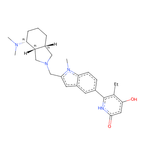 CCc1c(O)cc(=O)[nH]c1-c1ccc2c(c1)cc(CN1C[C@H]3CCC[C@@H](N(C)C)[C@H]3C1)n2C